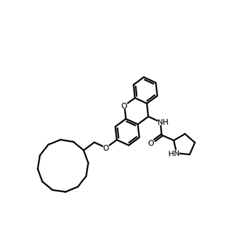 O=C(NC1c2ccccc2Oc2cc(OCC3CCCCCCCCCCC3)ccc21)C1CCCN1